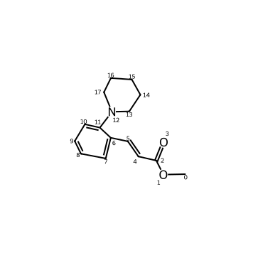 COC(=O)/C=C/c1ccccc1N1CCCCC1